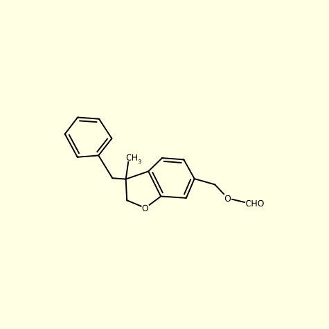 CC1(Cc2ccccc2)COc2cc(COC=O)ccc21